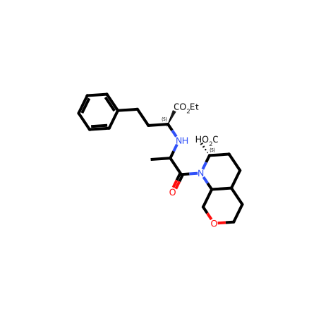 CCOC(=O)[C@H](CCc1ccccc1)NC(C)C(=O)N1C2COCCC2CC[C@H]1C(=O)O